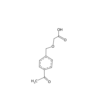 CC(=O)c1ccc(COCC(=O)O)cc1